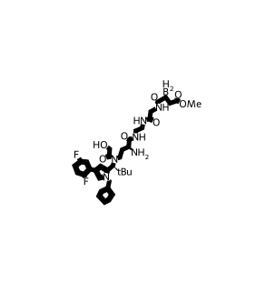 B[C@@H](CC(=O)OC)C(=O)NCC(=O)NCCNC(=O)[C@@H](N)CCN(C(=O)CO)[C@@H](c1cc(-c2cc(F)ccc2F)cn1Cc1ccccc1)C(C)(C)C